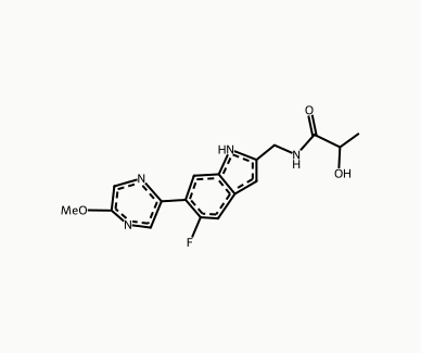 COc1cnc(-c2cc3[nH]c(CNC(=O)C(C)O)cc3cc2F)cn1